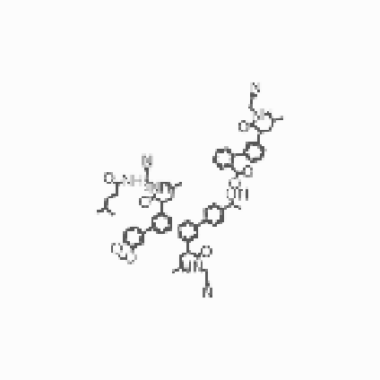 CC(C)CC(C(=O)NCC#N)c1cccc(-c2ccc(C(C)O)cc2)c1.CC(C)CC(C(=O)NCC#N)c1cccc(-c2ccc3c(c2)OCO3)c1.CC(C)CCC(N)=O.COC(=O)c1ccccc1-c1cccc(C(CC(C)C)C(=O)NCC#N)c1